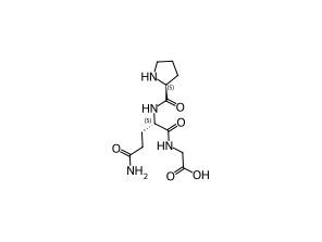 NC(=O)CC[C@H](NC(=O)[C@@H]1CCCN1)C(=O)NCC(=O)O